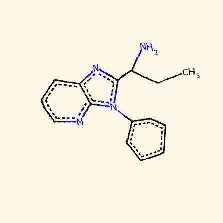 CCC(N)c1nc2cccnc2n1-c1ccccc1